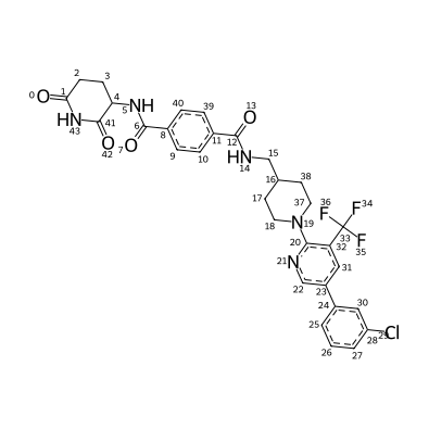 O=C1CCC(NC(=O)c2ccc(C(=O)NCC3CCN(c4ncc(-c5cccc(Cl)c5)cc4C(F)(F)F)CC3)cc2)C(=O)N1